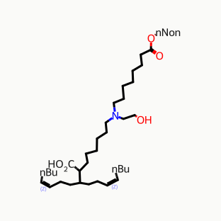 CCCC/C=C\CCC(CC/C=C\CCCC)C(CCCCCCN(CCO)CCCCCCCC(=O)OCCCCCCCCC)C(=O)O